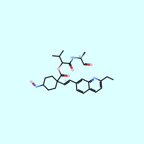 CCc1ccc2ccc(/C=C/C3(C(=O)OC(C(=O)N[C@@H](C)C=O)C(C)C)CCC(N=O)CC3)cc2n1